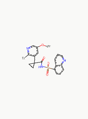 CCc1ncc(OC(C)C)cc1C1(C(=O)NS(=O)(=O)c2cccc3ncccc23)CC1